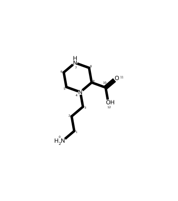 NCCCN1CCNCC1C(=O)O